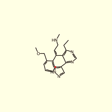 CCc1ncnc(-c2cn[nH]c2)c1/C(=C\CNC)c1ccccc1COC